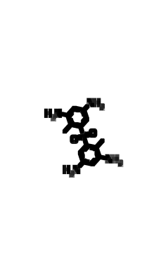 Cc1c(N)cc(N)cc1S(=O)(=O)c1cc(N)cc(N)c1C